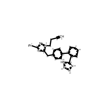 C#CCCn1nc(C(C)C)nc1Cc1ccc(-c2ccccc2-c2nnn[nH]2)cc1